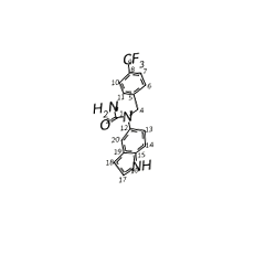 NC(=O)N(Cc1ccc(C(F)(F)F)cc1)c1ccc2[nH]ccc2c1